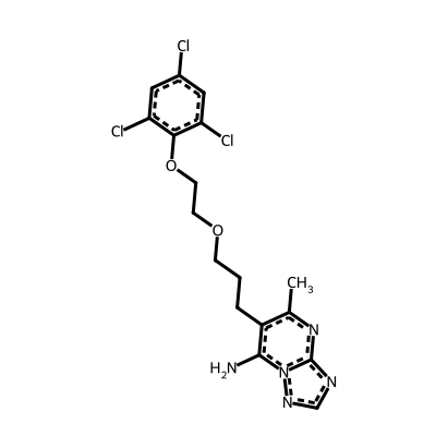 Cc1nc2ncnn2c(N)c1CCCOCCOc1c(Cl)cc(Cl)cc1Cl